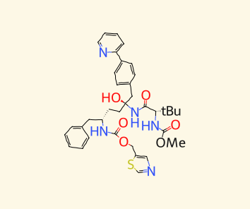 COC(=O)N[C@H](C(=O)N[C@](O)(CC[C@@H](Cc1ccccc1)NC(=O)OCc1cncs1)Cc1ccc(-c2ccccn2)cc1)C(C)(C)C